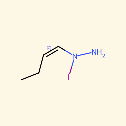 CC/C=C\N(N)I